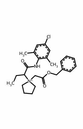 CCC(C(=O)Nc1c(C)cc(Cl)cc1C)[N+]1(CC(=O)OCc2ccccc2)CCCC1